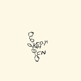 N#Cc1ccccc1C1=CCC(C(=O)NC(COCc2ccccc2)C(=O)O)O1